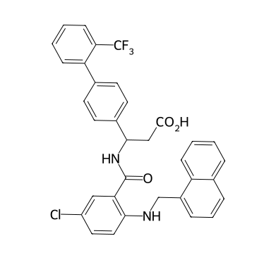 O=C(O)CC(NC(=O)c1cc(Cl)ccc1NCc1cccc2ccccc12)c1ccc(-c2ccccc2C(F)(F)F)cc1